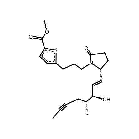 CC#CC[C@@H](C)[C@H](O)C=C[C@H]1CCC(=O)N1CCCc1ccc(C(=O)OC)s1